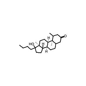 CCCCC1(O)CC[C@H]2[C@@H]3CCC4CC(=O)CC(C)[C@]4(C)[C@@H]3CC[C@@]21C